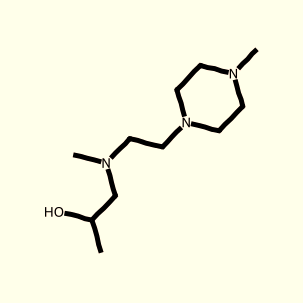 CC(O)CN(C)CCN1CCN(C)CC1